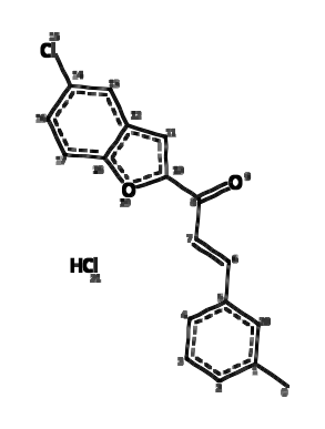 Cc1cccc(C=CC(=O)c2cc3cc(Cl)ccc3o2)c1.Cl